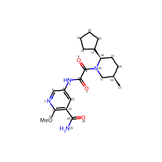 COc1ncc(NC(=O)C(=O)N2C[C@H](C)CC[C@@H]2C2CCCC2)cc1C(N)=O